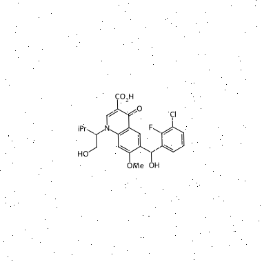 COc1cc2c(cc1C(O)c1cccc(Cl)c1F)c(=O)c(C(=O)O)cn2C(CO)C(C)C